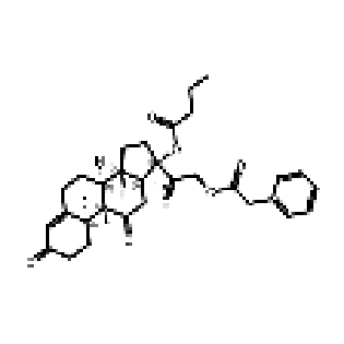 CCCC(=O)O[C@]1(C(=O)COC(=O)Cc2ccccc2)CC[C@H]2[C@@H]3CCC4=CC(=O)CC[C@]4(C)[C@H]3C(=O)C[C@@]21C